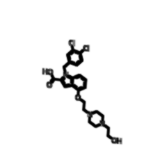 O=C(O)c1cc2c(OCCN3CCN(CCO)CC3)cccc2n1Cc1ccc(Cl)c(Cl)c1